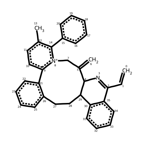 C=CC1=NC2C(=C)C[n+]3c(ccc(C)c3-c3ccccc3)-c3ccccc3CCC2c2ccccc21